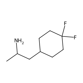 CC(N)CC1CCC(F)(F)CC1